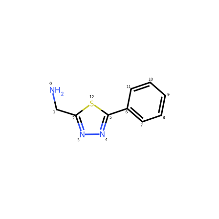 NCc1nnc(-c2ccccc2)s1